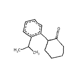 CC(C)c1ccccc1C1CCCCC1=O